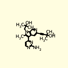 Cc1c(-c2ccnc(N)n2)c2cc(C#CC(C)(C)O)ncc2n1CC(C)(C)O